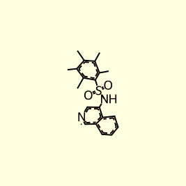 Cc1c(C)c(C)c(S(=O)(=O)Nc2cn[c]c3ccccc23)c(C)c1C